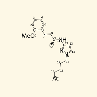 COc1ccccc1/C=C/C(=O)Nc1ccn(CCCCC(C)=O)n1